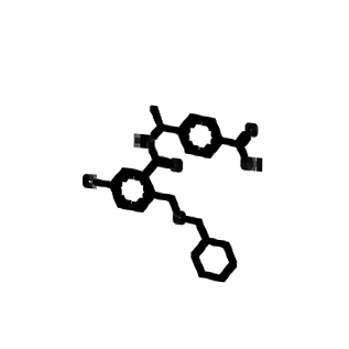 C[C@H](NC(=O)c1cc(Cl)ccc1COCC1CCCCC1)c1ccc(C(=O)O)cc1